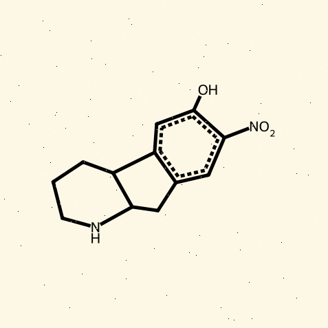 O=[N+]([O-])c1cc2c(cc1O)C1CCCNC1C2